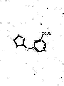 CCOC(=O)c1cccc(OC2CCCC2)c1